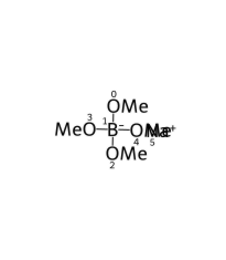 CO[B-](OC)(OC)OC.[Na+]